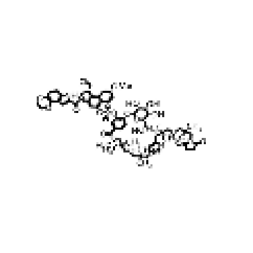 COc1ccc2c(OS(=O)(=O)Oc3cc(C(=O)N(C)CC(C)(C)COCC(C)(C)Cn4cc(CC(C)(C)COCC(C)(C)CN5C(=O)C=CC5=O)nn4)ccc3O[C@@H]3O[C@H](CO)[C@H](O)[C@H](O)[C@H]3O)cc3c(c2c1)[C@H](CCl)CN3C(=O)c1cc2c3c(ccc2[nH]1)OCCO3